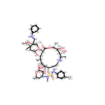 CC[C@H]1OC(=O)[C@H](C)[C@@H](O[C@H]2C[C@@](C)(OC)[C@](O)(CNc3ccccc3)[C@H](C)O2)[C@H](C)[C@@H](O[C@@H]2O[C@H](C)C[C@H](N(C)S(=O)(=O)Nc3ccc(C(F)(F)F)cc3)[C@H]2O)[C@](C)(O)C[C@@H](C)CN[C@H](C)[C@@H](O)[C@]1(C)O